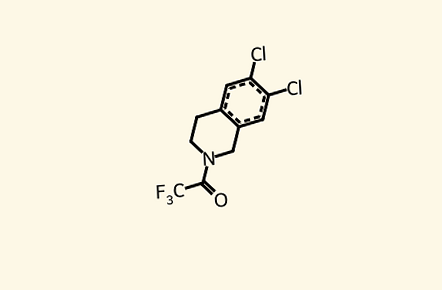 O=C(N1CCc2cc(Cl)c(Cl)cc2C1)C(F)(F)F